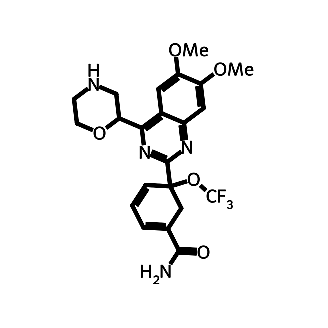 COc1cc2nc(C3(OC(F)(F)F)C=CC=C(C(N)=O)C3)nc(C3CNCCO3)c2cc1OC